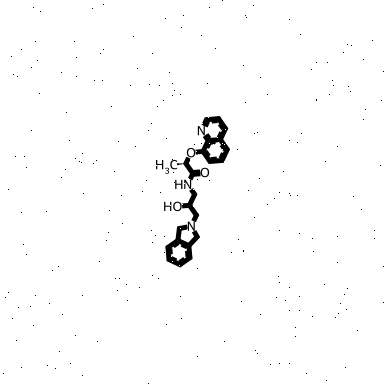 C[C@H](Oc1cccc2cccnc12)C(=O)NCC(O)CN1Cc2ccccc2C1